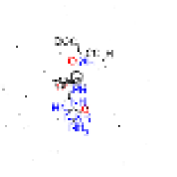 Nc1nc2c(c(=O)[nH]1)NC(CNc1ccc(C(=O)N[C@@H](CCC(=O)[O-])C(=O)O)cc1)CN2.O=C[O-].[Ca+2]